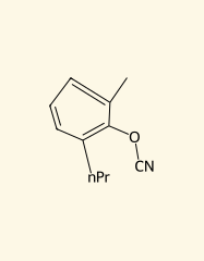 CCCc1cccc(C)c1OC#N